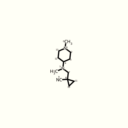 CN1CCC(N(C)CC2(C#N)CC2)CC1